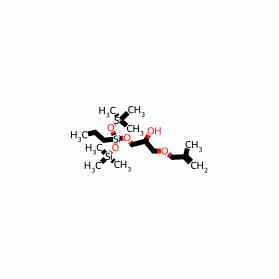 C=C(C)COCC(O)CO[Si](CCC)(O[Si](C)(C)C)O[Si](C)(C)C